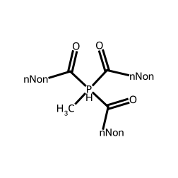 CCCCCCCCCC(=O)[PH](C)(C(=O)CCCCCCCCC)C(=O)CCCCCCCCC